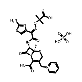 CC(C)(O/N=C(/C(=O)N[C@@H]1C(=O)N2C(C(=O)O)=C(C[n+]3ccccc3)CS[C@H]12)c1csc(N)n1)C(=O)O.O=S(=O)(O)O